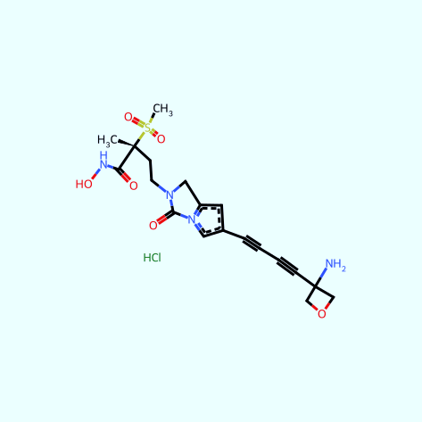 C[C@@](CCN1Cc2cc(C#CC#CC3(N)COC3)cn2C1=O)(C(=O)NO)S(C)(=O)=O.Cl